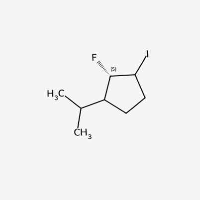 CC(C)C1CCC(I)[C@H]1F